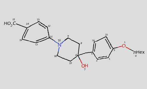 CCCCCCOc1ccc(C2(O)CCN(c3ccc(C(=O)O)cc3)CC2)cc1